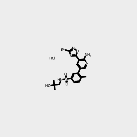 Cc1ccc(S(=O)(=O)NCC(C)(C)O)cc1-c1cnc(N)c(-c2nc(C(C)C)no2)c1.Cl